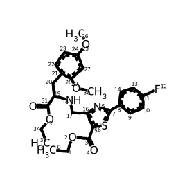 CCOC(=O)c1sc(-c2ccc(F)cc2)nc1CNC(Cc1ccc(OC)cc1OC)C(=O)OCC